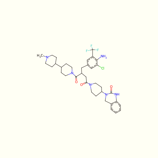 CN1CCC(C2CCN(C(=O)C(CC(=O)N3CCC(N4Cc5ccccc5NC4=O)CC3)Cc3cc(Cl)c(N)c(C(F)(F)F)c3)CC2)CC1